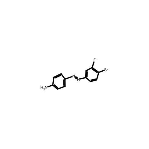 Nc1ccc(/N=N/c2ccc(Br)c(F)c2)cc1